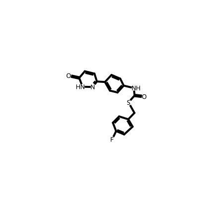 O=C(Nc1ccc(-c2ccc(=O)[nH]n2)cc1)SCc1ccc(F)cc1